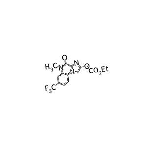 CCOC(=O)Oc1cn2c(n1)c(=O)n(C)c1cc(C(F)(F)F)ccc12